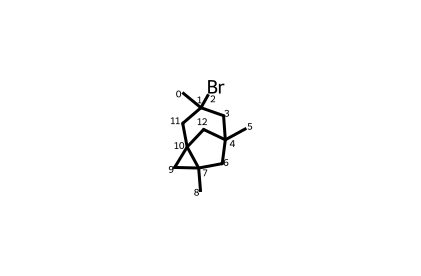 CC1(Br)CC2(C)CC3(C)CC3(C1)C2